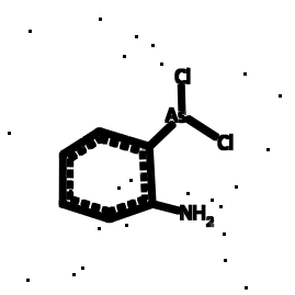 Nc1ccccc1[As](Cl)Cl